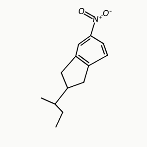 CCC(C)C1Cc2ccc([N+](=O)[O-])cc2C1